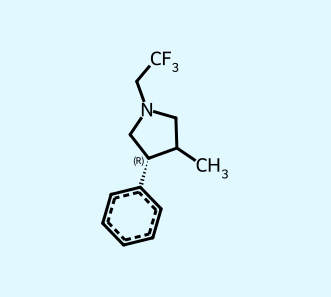 CC1CN(CC(F)(F)F)C[C@H]1c1ccccc1